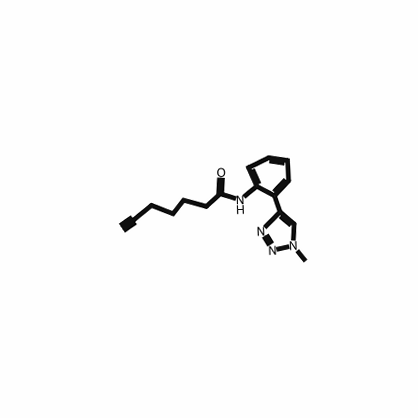 C#CCCCCC(=O)Nc1ccccc1-c1cn(C)nn1